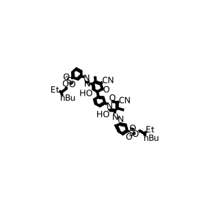 CCCCC(CC)COS(=O)(=O)c1cccc(/N=N/C2=C(O)C(c3cccc(-n4c(O)c(/N=N/c5cccc(S(=O)(=O)OCC(CC)CCCC)c5)c(C)c(C#N)c4=O)c3)C(=O)C(C#N)=C2C)c1